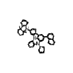 CC12CCCCC1(C)N(c1ccc3c(c1)B1c4ccccc4N(c4ccccc4)c4cc(-c5cccc6ccccc56)cc-3c41)c1ccccc12